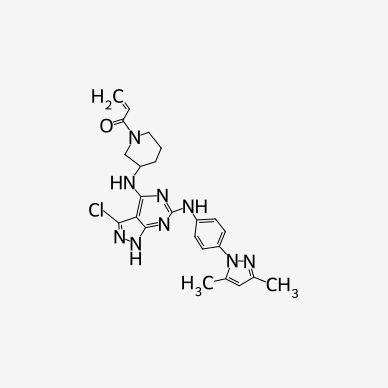 C=CC(=O)N1CCCC(Nc2nc(Nc3ccc(-n4nc(C)cc4C)cc3)nc3[nH]nc(Cl)c23)C1